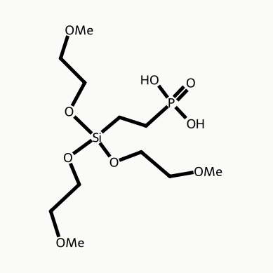 COCCO[Si](CCP(=O)(O)O)(OCCOC)OCCOC